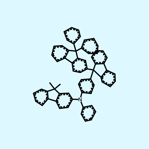 CC1(C)c2ccccc2-c2ccc(N(c3ccccc3)c3ccc(C4(c5ccc6c(c5)C(c5ccccc5)(c5ccccc5)c5ccccc5-6)c5ccccc5-c5ccccc54)cc3)cc21